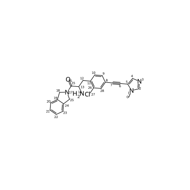 Cn1cncc1C#Cc1ccc(CC(N)C(=O)N2Cc3ccccc3C2)c(Cl)c1